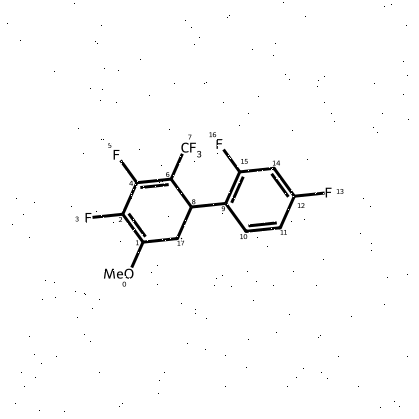 COC1=C(F)C(F)=C(C(F)(F)F)C(c2ccc(F)cc2F)[CH]1